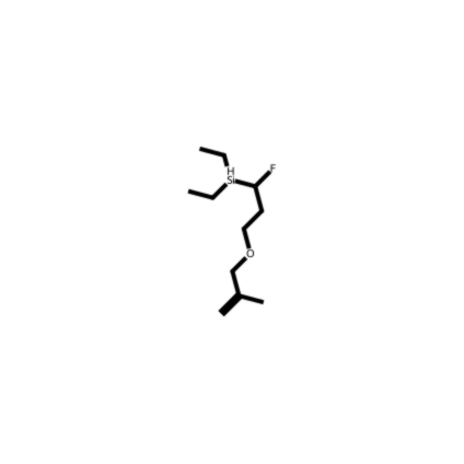 C=C(C)COCCC(F)[SiH](CC)CC